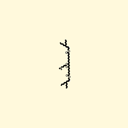 CCCCC(C/C=C\COC(=O)CCCCCCCC(CCCCCCCC(=O)OC/C=C\CC(CCCC)CCCC)OC(=O)CCCN(C)C)CCCC